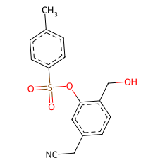 Cc1ccc(S(=O)(=O)Oc2cc(CC#N)ccc2CO)cc1